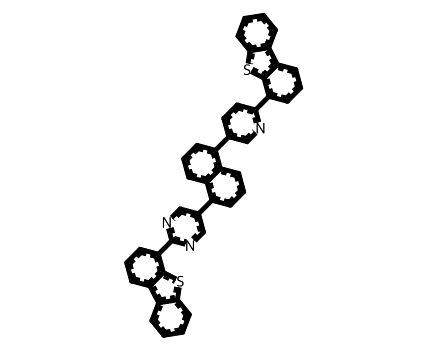 c1ccc2c(c1)sc1c(-c3ccc(-c4cccc5c(-c6cnc(-c7cccc8c7sc7ccccc78)nc6)cccc45)cn3)cccc12